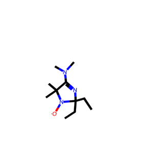 CCC1(CC)N=C(N(C)C)C(C)(C)N1[O]